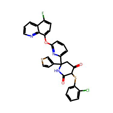 O=C1CC(c2ccsc2)(c2cccc(Oc3ccc(F)c4cccnc34)n2)NC(=O)C1Sc1ccccc1Cl